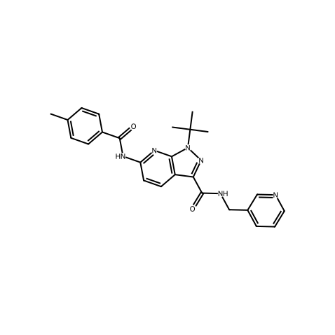 Cc1ccc(C(=O)Nc2ccc3c(C(=O)NCc4cccnc4)nn(C(C)(C)C)c3n2)cc1